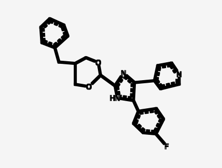 Fc1ccc(-c2[nH]c(C3OCC(Cc4ccccc4)CO3)nc2-c2ccncc2)cc1